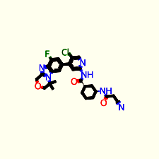 CC1(C)COCc2nc3c(F)cc(-c4cc(NC(=O)[C@H]5CCC[C@@H](NC(=O)CC#N)C5)ncc4Cl)cc3n21